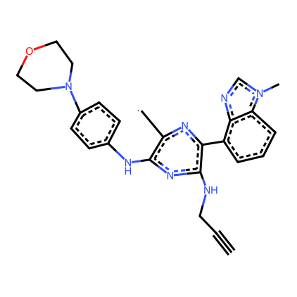 C#CCNc1nc(Nc2ccc(N3CCOCC3)cc2)c([CH2])nc1-c1cccc2c1ncn2C